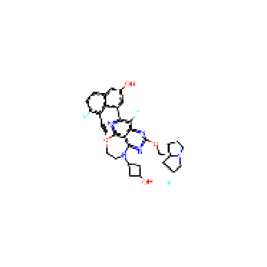 C#Cc1c(F)ccc2cc(O)cc(-c3nc4c5c(nc(OC[C@@]67CCCN6C[C@H](F)C7)nc5c3F)N(C3CC(O)C3)CCO4)c12